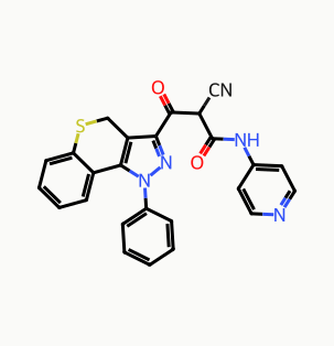 N#CC(C(=O)Nc1ccncc1)C(=O)c1nn(-c2ccccc2)c2c1CSc1ccccc1-2